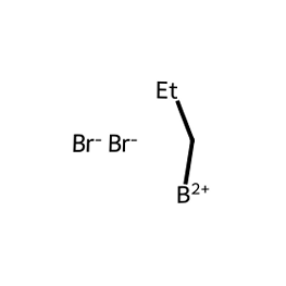 [B+2]CCC.[Br-].[Br-]